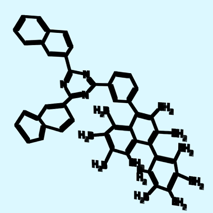 Bc1c(B)c(B)c(-c2c(B)c(B)c(-c3cccc(-c4nc(-c5ccc6ccccc6c5)nc(-c5ccc6ccccc6c5)n4)c3)c3c(B)c(B)c(B)c(B)c23)c(B)c1B